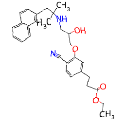 CCOC(=O)CCc1ccc(C#N)c(OCC(O)CNC(C)(C)Cc2ccc3ccccc3c2)c1